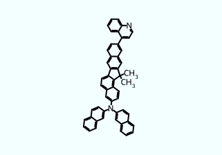 CC1(C)c2cc3cc(-c4ccnc5ccccc45)ccc3cc2-c2ccc3cc(N(c4ccc5ccccc5c4)c4ccc5ccccc5c4)ccc3c21